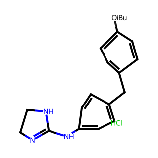 CC(C)COc1ccc(Cc2ccc(NC3=NCCN3)cc2)cc1.Cl